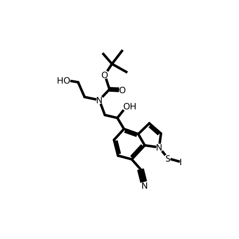 CC(C)(C)OC(=O)N(CCO)CC(O)c1ccc(C#N)c2c1ccn2SI